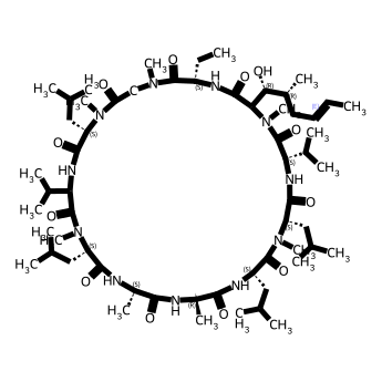 C/C=C/C[C@@H](C)[C@@H](O)C1C(=O)N[C@@H](CC)C(=O)N(C)CC(=O)N(C)[C@@H](CC(C)C)C(=O)NC(C(C)C)C(=O)N(C)[C@@H](CC(C)C)C(=O)N[C@@H](C)C(=O)N[C@H](C)C(=O)N[C@@H](CC(C)C)C(=O)N(C)[C@@H](CC(C)C)C(=O)N[C@@H](C(C)C)C(=O)N1C